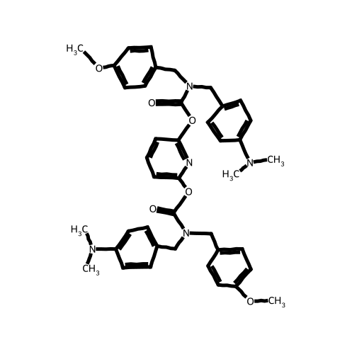 COc1ccc(CN(Cc2ccc(N(C)C)cc2)C(=O)Oc2cccc(OC(=O)N(Cc3ccc(OC)cc3)Cc3ccc(N(C)C)cc3)n2)cc1